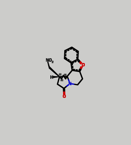 O=C1C[C@H]2[C@H](C[N+](=O)[O-])CC[C@]23c2c(oc4ccccc24)CCN13